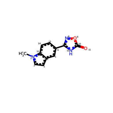 Cn1ccc2cc(-c3noc(=O)[nH]3)ccc21